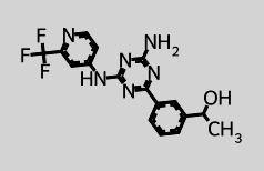 CC(O)c1cccc(-c2nc(N)nc(Nc3ccnc(C(F)(F)F)c3)n2)c1